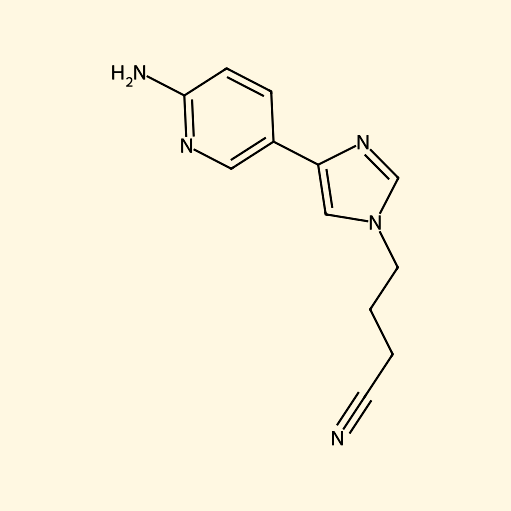 N#CCCCn1cnc(-c2ccc(N)nc2)c1